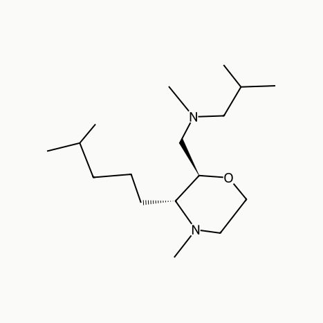 CC(C)CCC[C@@H]1[C@@H](CN(C)CC(C)C)OCCN1C